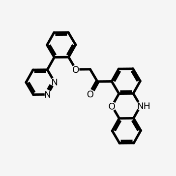 O=C(COc1ccccc1-c1cccnn1)c1cccc2c1Oc1ccccc1N2